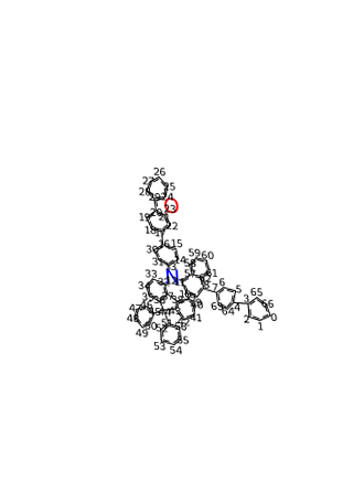 c1ccc(-c2ccc(-c3ccc(N(c4ccc(-c5ccc6c(c5)oc5ccccc56)cc4)c4cccc5c4-c4ccccc4C5(c4ccccc4)c4ccccc4)c4ccccc34)cc2)cc1